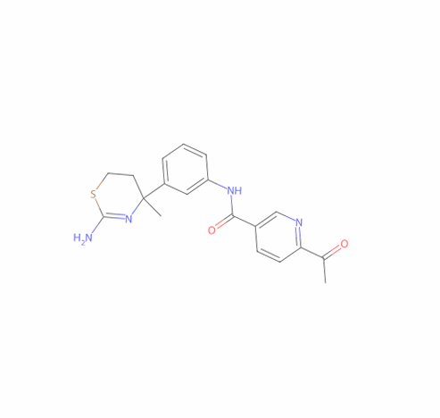 CC(=O)c1ccc(C(=O)Nc2cccc(C3(C)CCSC(N)=N3)c2)cn1